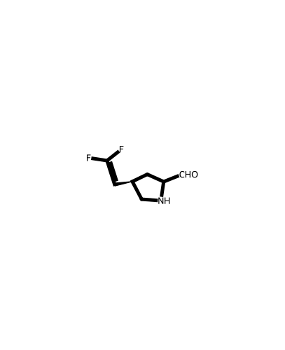 O=CC1C[C@H](C=C(F)F)CN1